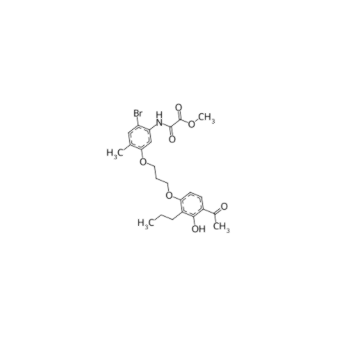 CCCc1c(OCCCOc2cc(NC(=O)C(=O)OC)c(Br)cc2C)ccc(C(C)=O)c1O